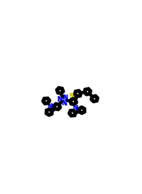 c1ccc(-c2cccc(-c3ccc4sc5c(-c6nc(-c7ccccc7)nc(-c7ccc8c9ccccc9n(-c9ccccc9)c8c7)n6)cc(-n6c7ccccc7c7ccccc76)cc5c4c3)c2)cc1